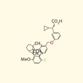 COc1ccc(F)c(-c2ccc(COc3cccc([C@H](CC(=O)O)C4CC4)c3)cc2C2=CC3CCC2(C)C3(C)C)c1